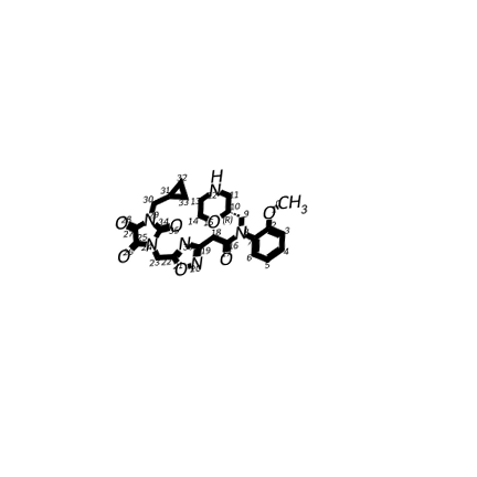 COc1ccccc1N(C[C@H]1CNCCO1)C(=O)Cc1noc(CN2C(=O)C(=O)N(CC3CC3)C2=O)n1